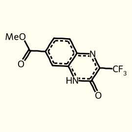 COC(=O)c1ccc2nc(C(F)(F)F)c(=O)[nH]c2c1